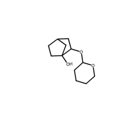 OC12CCC(CC1OC1CCCCO1)C2